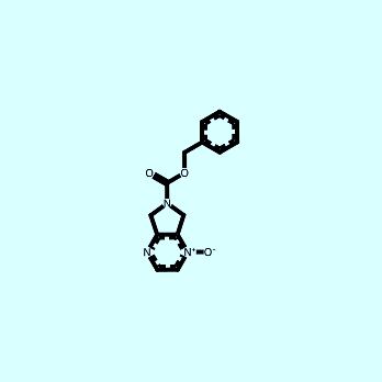 O=C(OCc1ccccc1)N1Cc2ncc[n+]([O-])c2C1